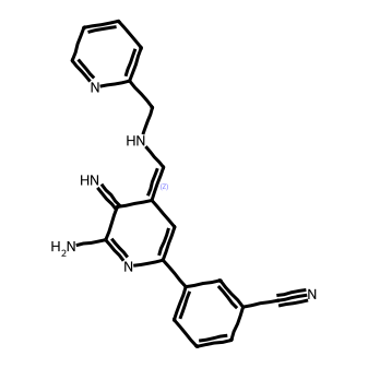 N#Cc1cccc(C2=C/C(=C/NCc3ccccn3)C(=N)C(N)=N2)c1